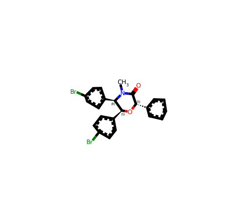 CN1C(=O)[C@H](c2ccccc2)O[C@@H](c2ccc(Br)cc2)[C@H]1c1ccc(Br)cc1